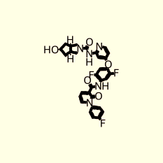 O=C(Nc1cc(F)c(Oc2ccnc(NC(=O)N3C[C@H]4C[C@H](O)C[C@H]4C3)c2)cc1F)c1cccn(-c2ccc(F)cc2)c1=O